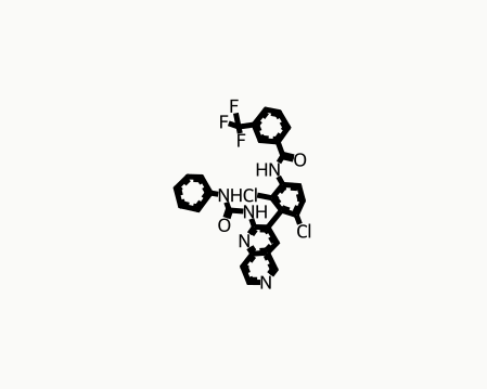 O=C(Nc1ccccc1)Nc1nc2ccncc2cc1-c1c(Cl)ccc(NC(=O)c2cccc(C(F)(F)F)c2)c1Cl